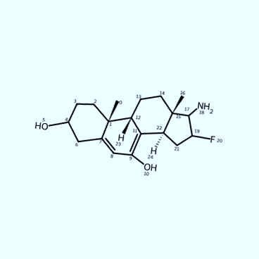 C[C@]12CCC(O)CC1=CC(O)=C1[C@H]2CC[C@]2(C)C(N)C(F)C[C@@H]12